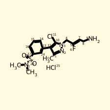 Cc1nn(CC(F)=CCN)c(Cl)c1-c1cccc(S(=O)(=O)N(C)C)c1.Cl